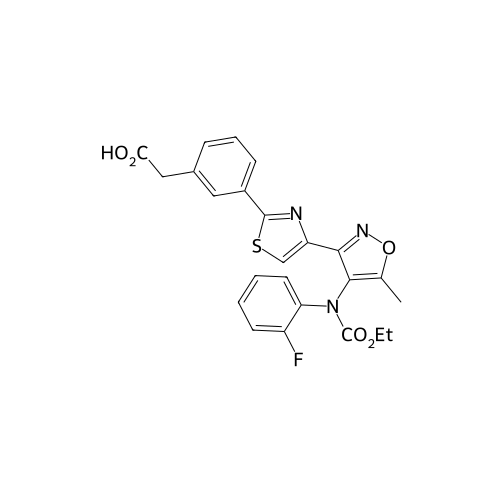 CCOC(=O)N(c1ccccc1F)c1c(-c2csc(-c3cccc(CC(=O)O)c3)n2)noc1C